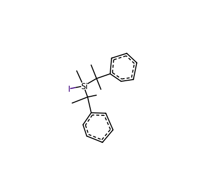 CC(C)(c1ccccc1)[Si](C)(I)C(C)(C)c1ccccc1